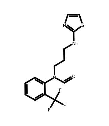 O=[C]N(CCCNc1nccs1)c1ccccc1C(F)(F)F